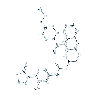 O=C(CN1CCc2nc3ccccc3c(C(=O)N3CCN(CCO)CC3)c2C1)Nc1ccc(N2CCCC2=O)c(Cl)c1